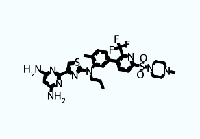 CCCN(c1nc(-c2nc(N)cc(N)n2)cs1)c1cc(-c2ccc(S(=O)(=O)N3CCN(C)CC3)nc2C(F)(F)F)ccc1C